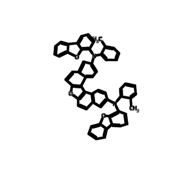 Cc1ccccc1N(c1ccc2c(ccc3oc4ccc5cc(N(c6ccccc6C)c6cccc7c6oc6ccccc67)ccc5c4c32)c1)c1cccc2c1oc1ccccc12